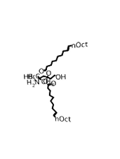 Br.CCCCCCCCC=CCCCCCCCC(=O)OC(CCO)(CC(C)(C)N)OC(=O)CCCCCCCC=CCCCCCCCC